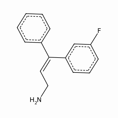 NCC=C(c1ccccc1)c1cccc(F)c1